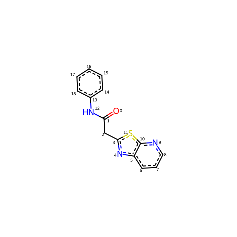 O=C(Cc1nc2cccnc2s1)Nc1ccccc1